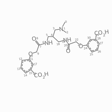 CN(C)CC(CNC(=O)COc1cccc(C(=O)O)c1)CNC(=O)COc1cccc(C(=O)O)c1